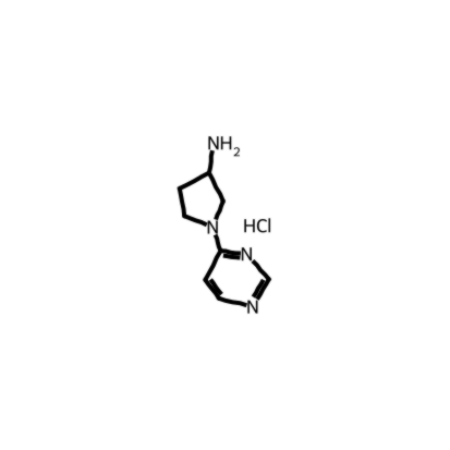 Cl.NC1CCN(c2ccncn2)C1